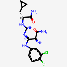 N=C(/N=C(/Nc1ccc(Cl)c(Cl)c1)C(=N)C(N)=O)N[C@H](CC1CC1)C(N)=O